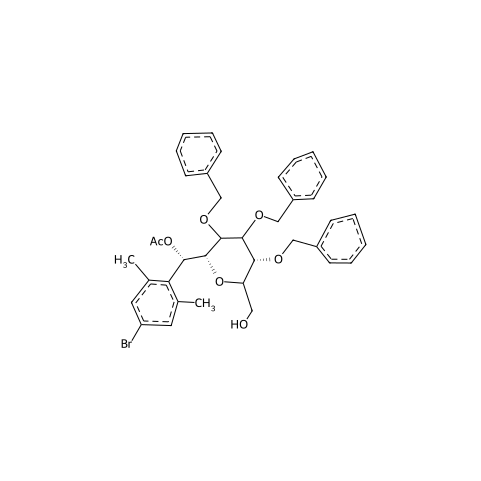 CC(=O)O[C@@H](c1c(C)cc(Br)cc1C)[C@H]1OC(CO)[C@@H](OCc2ccccc2)C(OCc2ccccc2)C1OCc1ccccc1